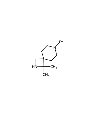 CCN1CCC2(CC1)CNC2(C)C